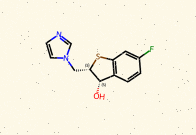 O[C@H]1c2ccc(F)cc2S[C@H]1Cn1ccnc1